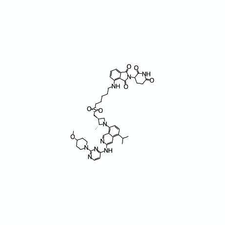 COC1CCN(c2nccc(Nc3cc4c(C(C)C)ccc(N5C[C@H](CS(=O)(=O)CCCCCNc6cccc7c6C(=O)N(C6CCC(=O)NC6=O)C7=O)[C@H]5C)c4cn3)n2)CC1